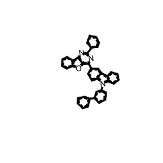 c1ccc(-c2cccc(-n3c4ccccc4c4cc(-c5nc(-c6ccccc6)nc6c5oc5ccccc56)ccc43)c2)cc1